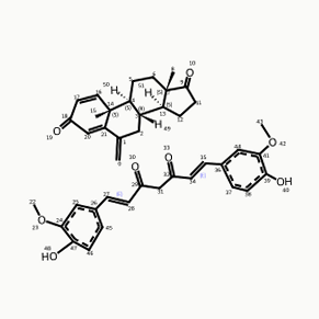 C=C1C[C@@H]2[C@H](CC[C@]3(C)C(=O)CC[C@@H]23)[C@@]2(C)C=CC(=O)C=C12.COc1cc(/C=C/C(=O)CC(=O)/C=C/c2ccc(O)c(OC)c2)ccc1O